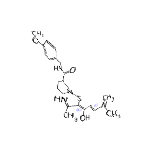 COc1ccc(CNC(=O)C2CCCN(S/C(C(C)=N)=C(O)\C=C\N(C)C)C2)cc1